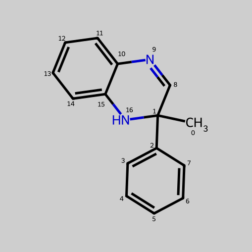 CC1(c2ccccc2)C=Nc2ccccc2N1